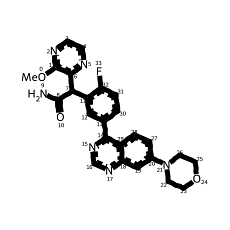 COc1nccnc1C(C(N)=O)c1cc(-c2ncnc3cc(N4CCOCC4)ccc23)ccc1F